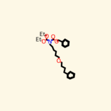 CCOC(OCC)N(CCCCCCOCCCCc1ccccc1)C(=O)OCc1ccccc1